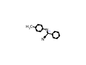 Cc1ccc(/N=C(\C#N)c2ccccc2)cc1